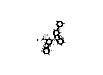 OB(O)c1cc(-n2c3ccccc3c3cc(-c4ccccc4)ccc32)cc2c1sc1ccccc12